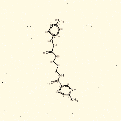 Cc1cnc(C(=O)NCCCNC(=O)COc2ccc(C(F)(F)F)nc2)cn1